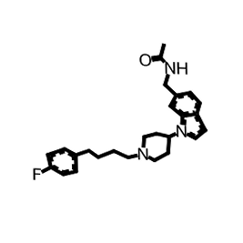 CC(=O)NCc1ccc2ccn(C3CCN(CCCCc4ccc(F)cc4)CC3)c2c1